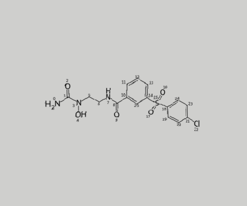 NC(=O)N(O)CCNC(=O)c1cccc(S(=O)(=O)c2ccc(Cl)cc2)c1